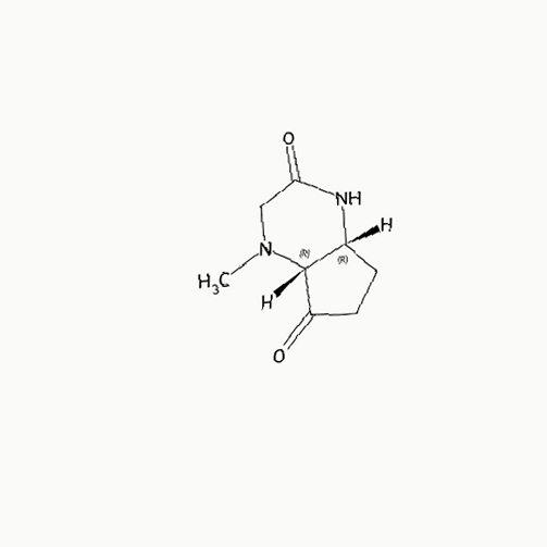 CN1CC(=O)N[C@@H]2CCC(=O)[C@@H]21